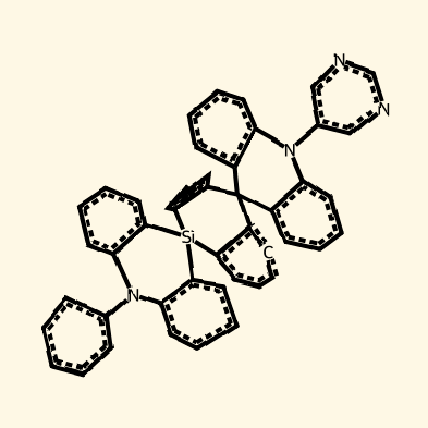 c1ccc(N2c3ccccc3[Si]3(c4ccccc42)c2ccccc2C2(c4ccccc4N(c4cncnc4)c4ccccc42)c2ccccc23)cc1